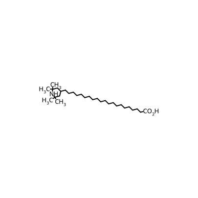 CC1(C)CC(CCCCCCCCCCCCCCCCCCCCC(=O)O)CC(C)(C)N1